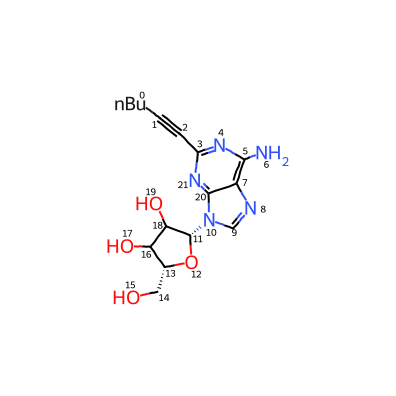 CCCCC#Cc1nc(N)c2ncn([C@@H]3O[C@H](CO)C(O)C3O)c2n1